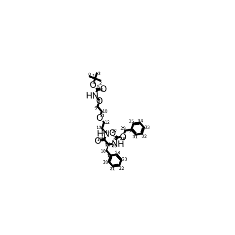 CC(C)(C)OC(=O)NOCCOCCNC(=O)[C@H](Cc1ccccc1)NC(=O)OCc1ccccc1